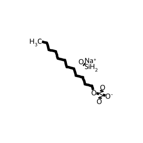 CCCCCCCCCCCCOS(=O)(=O)[O-].O=[SiH2].[Na+]